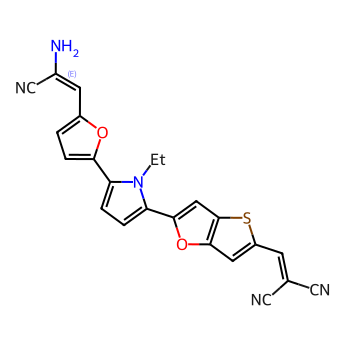 CCn1c(-c2ccc(/C=C(/N)C#N)o2)ccc1-c1cc2sc(C=C(C#N)C#N)cc2o1